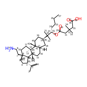 C=C(C)[C@@H]1CC[C@]2(CCN)CC[C@]3(C)[C@H](CC[C@@H]4C[C@H](C(C)(C)[C@H](CCCC)OC(=O)CC(C)(C)CC(=O)O)CC[C@]43C)[C@@H]12